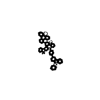 CC1(C)c2ccccc2-c2ccc(N(c3ccc(-c4ccc5c(c4)c4ccccc4n5-c4ccccc4)cc3)c3cccc4oc5cc(-c6cccc7c8cccc9oc%10cccc(c67)c%10c98)ccc5c34)cc21